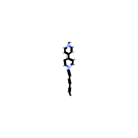 CC#CC#CC#C[n+]1ccc(-c2cc[n+](C)cc2)cc1